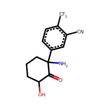 N#Cc1cc(C2(N)CCCC(O)C2=O)ccc1C(F)(F)F